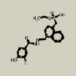 CCOP(=O)(O)Cc1ccc(/C=N/NC(=O)c2ccc(O)c(Cl)c2)c2ccccc12